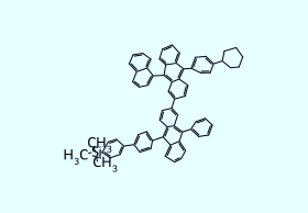 C[Si](C)(C)c1ccc(-c2ccc(-c3c4ccccc4c(-c4ccccc4)c4cc(-c5ccc6c(-c7ccc(C8CCCCC8)cc7)c7ccccc7c(-c7cccc8ccccc78)c6c5)ccc34)cc2)cc1